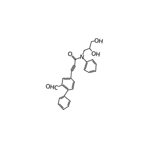 O=Cc1cc(C#CC(=O)N(CC(O)CO)c2ccccc2)ccc1-c1ccccc1